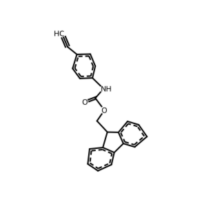 C#Cc1ccc(NC(=O)OCC2c3ccccc3-c3ccccc32)cc1